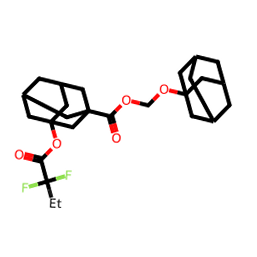 CCC(F)(F)C(=O)OC12CC3CC(C1)CC(C(=O)OCOC14CC5CC(CC(C5)C1)C4)(C3)C2